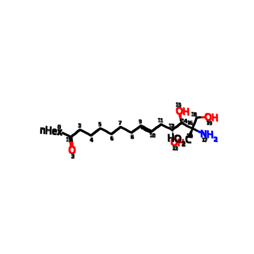 CCCCCCC(=O)CCCCCC/C=C/C[C@@H](O)[C@@H](O)[C@@](N)(CO)C(=O)O